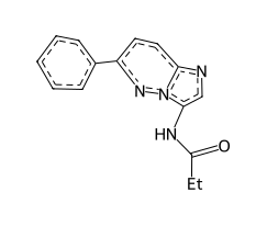 CCC(=O)Nc1cnc2ccc(-c3ccccc3)nn12